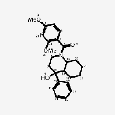 COc1ccc(C(=O)N2CCC(O)(c3ccccc3)C3CCCCC32)c(OC)n1